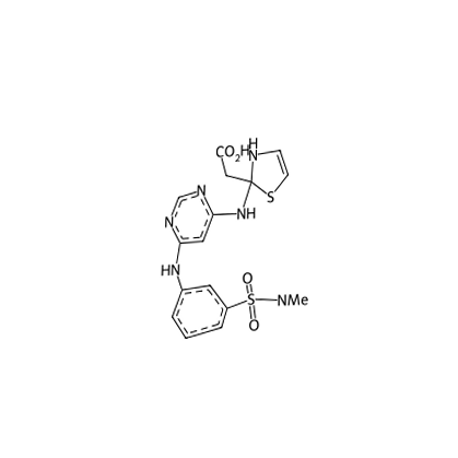 CNS(=O)(=O)c1cccc(Nc2cc(NC3(CC(=O)O)NC=CS3)ncn2)c1